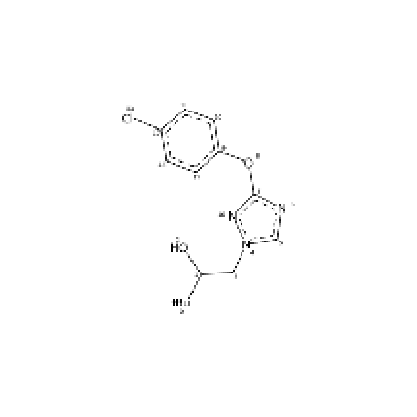 CC(C)(C)C(O)Cn1cnc(Oc2ccc(Cl)cc2)n1